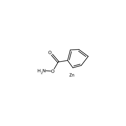 NOC(=O)c1ccccc1.[Zn]